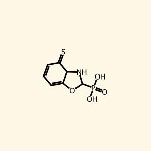 O=P(O)(O)C1NC2C(=S)C=CC=C2O1